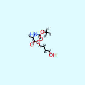 CC(NC(=O)OC(C)(C)C)C(=O)OCCCCO